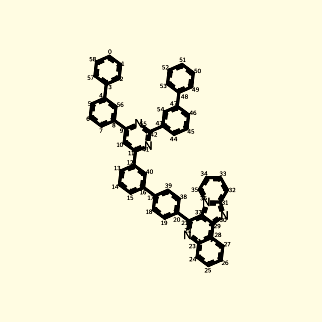 c1ccc(-c2cccc(-c3cc(-c4cccc(-c5ccc(-c6nc7ccccc7c7nc8ccccn8c67)cc5)c4)nc(-c4cccc(-c5ccccc5)c4)n3)c2)cc1